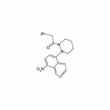 CC(C)CC(=O)N1CCCCN1c1ccc([N+](=O)[O-])c2ccccc12